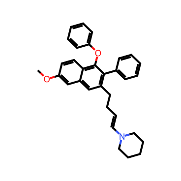 COc1ccc2c(Oc3ccccc3)c(-c3ccccc3)c(CCC=CN3CCCCC3)cc2c1